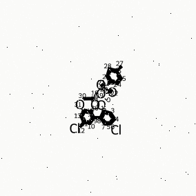 COc1ccc(Cl)cc1-c1cc(Cl)cc2c1O[C@@H](COS(=O)(=O)c1ccc(C)cc1)CO2